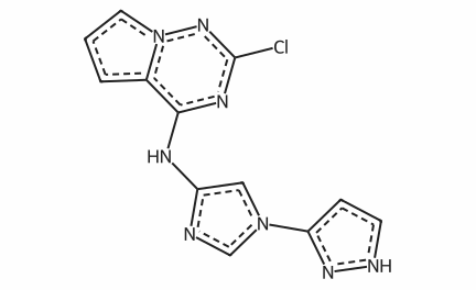 Clc1nc(Nc2cn(-c3cc[nH]n3)cn2)c2cccn2n1